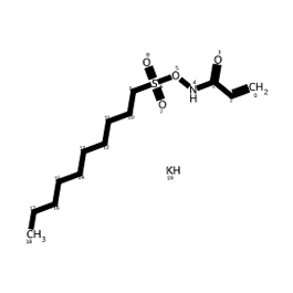 C=CC(=O)NOS(=O)(=O)CCCCCCCCCC.[KH]